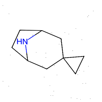 C1CC2CC3(CC3)CC1N2